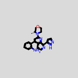 C[C@@H]1COCCN1c1cc(-c2ccccc2N)c2ccnc(-c3ccn[nH]3)c2n1